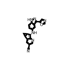 N#Cc1cnc2c(c1)C1CC1[C@@H]2Nc1ccc2[nH]nc(-c3cnco3)c2c1